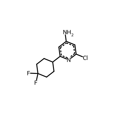 Nc1cc(Cl)nc(C2CCC(F)(F)CC2)c1